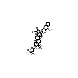 CC(C)C1=C2[C@H]3CC[C@@H]4[C@@]5(C)CC[C@H](OC(=O)CC(C)(C)C(=O)O)C(C)(C)[C@@H]5CC[C@@]4(C)[C@]3(C)CC[C@@]2(C(=O)CN(Cc2ccccc2)C(=O)CO)CC1=O